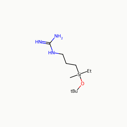 CC[Si](C)(CCCNC(=N)N)OC(C)(C)C